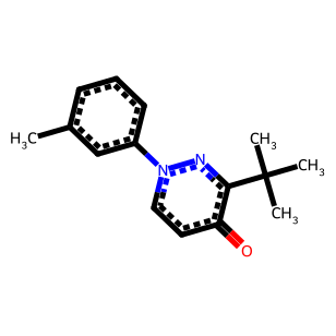 Cc1cccc(-n2ccc(=O)c(C(C)(C)C)n2)c1